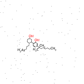 CCCCCCC(C)(C)c1ccc(C2CC(O)CCC2CCC[AsH2])c(O)c1